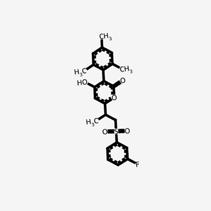 Cc1cc(C)c(-c2c(O)cc(C(C)CS(=O)(=O)c3cccc(F)c3)oc2=O)c(C)c1